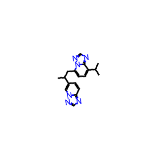 CC(C)c1ccc(CC(C)c2ccc3ncnn3c2)n2ncnc12